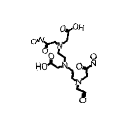 O=CCN(CCN(CCN(CC(=O)O)CC(=O)N=O)CC(=O)O)CC(=O)N=O